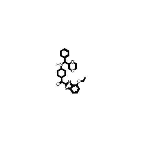 CCOc1cccc2sc(C(=O)C3CCC(NC(C4=CC=CCC4)C4=COC=CO4)CC3)nc12